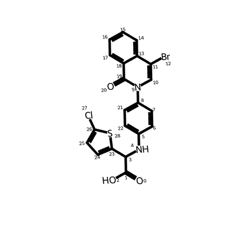 O=C(O)C(Nc1ccc(-n2cc(Br)c3ccccc3c2=O)cc1)c1ccc(Cl)s1